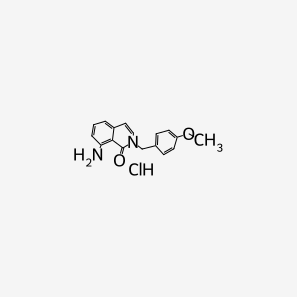 COc1ccc(Cn2ccc3cccc(N)c3c2=O)cc1.Cl